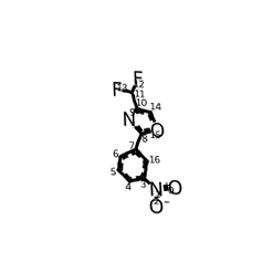 O=[N+]([O-])c1cccc(-c2nc(C(F)F)co2)c1